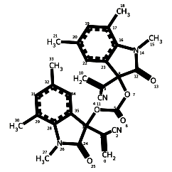 C=C(C#N)C1(OC(=O)OC2(C(=C)C#N)C(=O)N(C)c3c(C)cc(C)cc32)C(=O)N(C)c2c(C)cc(C)cc21